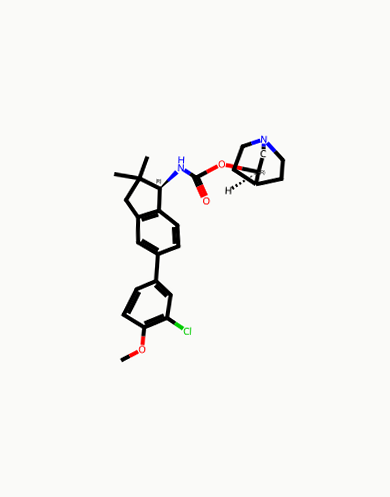 COc1ccc(-c2ccc3c(c2)CC(C)(C)[C@H]3NC(=O)O[C@H]2CN3CCC2CC3)cc1Cl